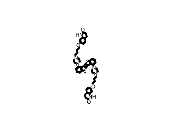 O=c1ccc2ccc(OCCCCN3CCN(c4cccc5c4C4C(S5)C5c6c(cccc6N6CCN(CCCCOc7ccc8ccc(=O)[nH]c8c7)CC6)SC45)CC3)cc2[nH]1